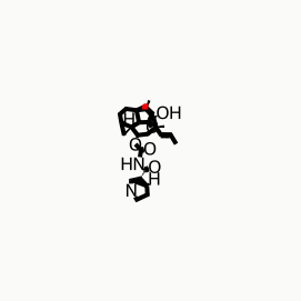 CC=C[C@]1(C)C[C@@H](OC(=O)NC(=O)[C@H]2CN3CC[C@@H]2C3)[C@]23C[C@@H]2CCC2(CCC(=O)C23)[C@@H](C)[C@@H]1O